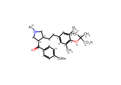 CSc1ccc(C(=O)[C@H]2CN(C(C)=O)CC2CCc2cc(C)c(OC(C)(C)C(=O)O)c(C)c2)cc1